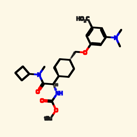 CN(C)c1cc(OC[C@H]2CC[C@H]([C@H](NC(=O)OC(C)(C)C)C(=O)N(C)C3CCC3)CC2)cc(C(=O)O)c1